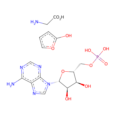 NCC(=O)O.Nc1ncnc2c1ncn2[C@@H]1O[C@H](COP(=O)(O)O)[C@@H](O)[C@H]1O.Oc1ccco1